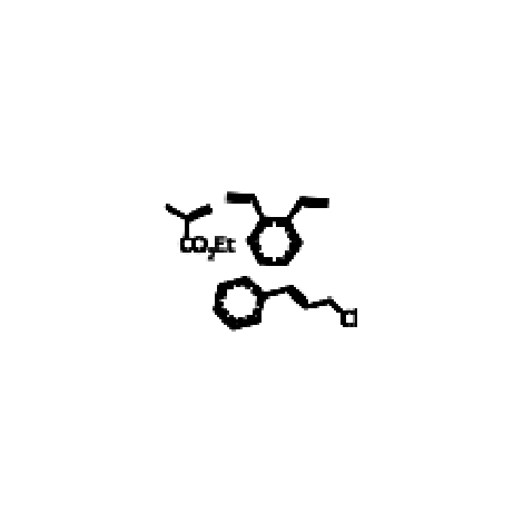 C=C(C)C(=O)OCC.C=Cc1ccccc1C=C.ClCC=Cc1ccccc1